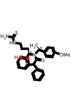 COc1ccc([C@@H](C)N(C(=O)C(c2ccccc2)c2ccccc2)[C@H](CCCNC(N)=S)C(N)=O)cc1